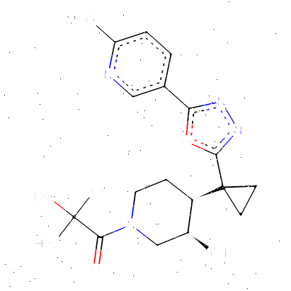 COc1ccc(-c2nnc(C3([C@@H]4CCN(C(=O)C(C)(O)C(F)(F)F)C[C@@H]4C)CC3)o2)cn1